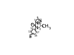 CCCN(C(=O)n1ccnc1)c1ccc(F)cc1